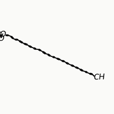 C#CC#CC#CC#CC#CC#CC#CC#CC#CC#CC#CC#CC#CC#CC#CC#CC#CC#CC#CC#COC(C)=O